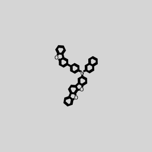 c1ccc2cc(N(c3ccc(-c4ccc5oc6ccccc6c5c4)cc3)c3ccc4oc5c(ccc6c7ccccc7oc65)c4c3)ccc2c1